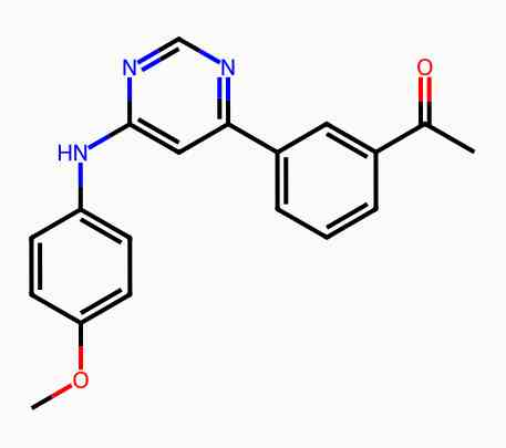 COc1ccc(Nc2cc(-c3cccc(C(C)=O)c3)ncn2)cc1